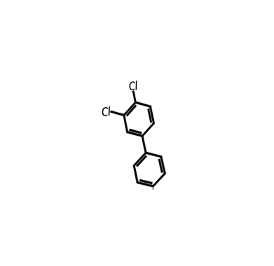 Clc1ccc(-c2cc[c]cc2)cc1Cl